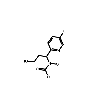 O=C(O)N(O)C(CCO)c1ccc(Cl)cn1